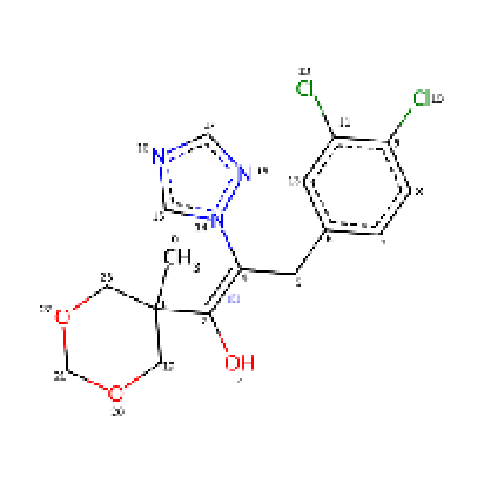 CC1(/C(O)=C(/Cc2ccc(Cl)c(Cl)c2)n2cncn2)COCOC1